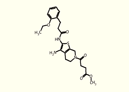 CCOc1ccccc1CCC(=O)Nc1sc2c(c1N)CCN(C(=O)CCC(=O)OC)C2